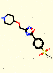 CS(=O)(=O)c1ccc(-c2nc(COC3CCNCC3)no2)cc1